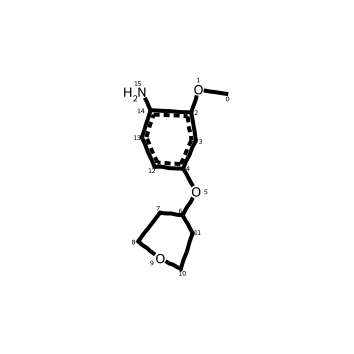 COc1cc(OC2CCOCC2)ccc1N